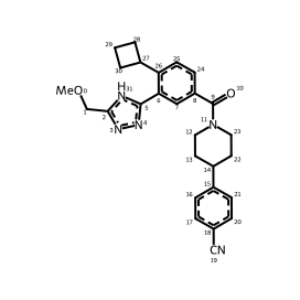 COCc1nnc(-c2cc(C(=O)N3CCC(c4ccc(C#N)cc4)CC3)ccc2C2CCC2)[nH]1